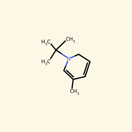 CC1=CN(C(C)(C)C)CC=C1